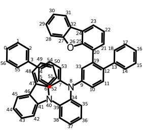 c1ccc(-c2ccc(N(c3ccc(-c4ccccc4)c(-c4cccc5c4oc4ccccc45)c3)c3ccccc3-n3c4ccccc4c4ccccc43)cc2)cc1